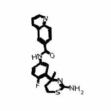 CC1(c2cc(NC(=O)c3ccc4ncccc4c3)ccc2F)CCSC(N)=N1